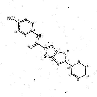 N#Cc1ccc(NC(=O)c2cc3nc(N4C=CCCC4)sc3s2)cc1